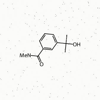 CNC(=O)c1cccc(C(C)(C)O)c1